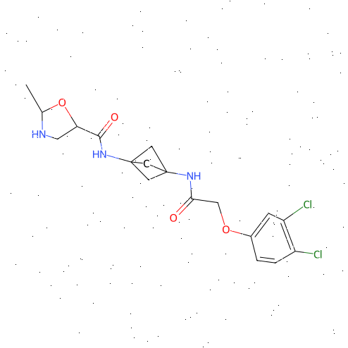 CC1NCC(C(=O)NC23CC(NC(=O)COc4ccc(Cl)c(Cl)c4)(C2)C3)O1